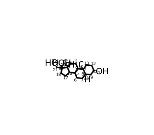 C[C@]12CCC3C(CC[C@H]4C[C@@H](O)CC[C@]34C)C1CC[C@]2(O)CO